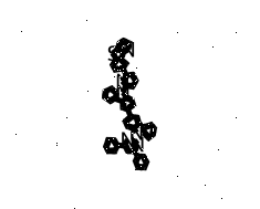 c1ccc(-c2cc(-c3ccccc3)nc(-n3c4ccccc4c4cc(-c5ccc6c(c5)c5ccccc5n6-c5cccc(-c6ccc7sc8cccnc8c7c6)n5)ccc43)n2)cc1